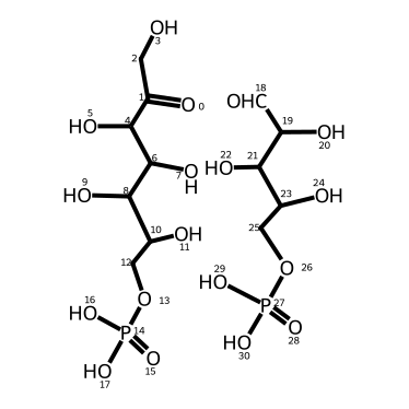 O=C(CO)C(O)C(O)C(O)C(O)COP(=O)(O)O.O=CC(O)C(O)C(O)COP(=O)(O)O